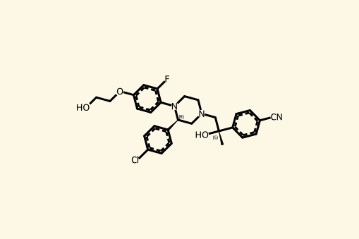 C[C@@](O)(CN1CCN(c2ccc(OCCO)cc2F)[C@H](c2ccc(Cl)cc2)C1)c1ccc(C#N)cc1